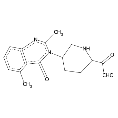 Cc1cccc2nc(C)n(C3CCC(C(=O)C=O)NC3)c(=O)c12